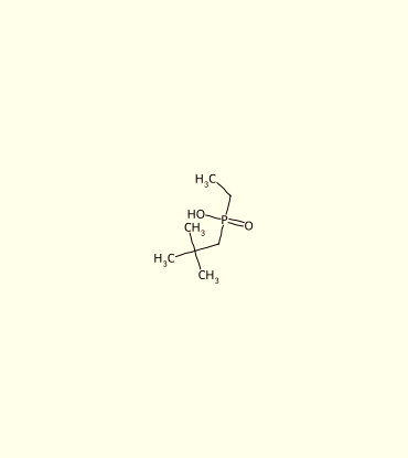 CCP(=O)(O)CC(C)(C)C